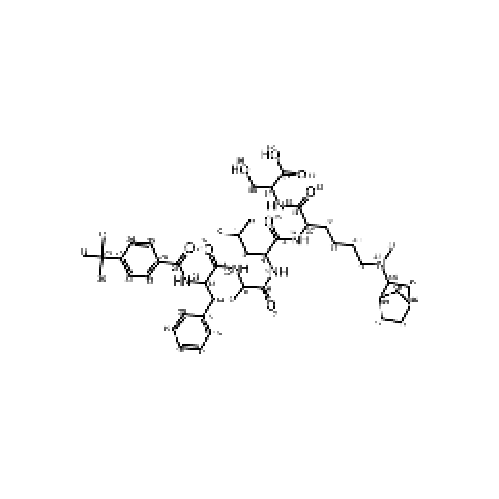 CC(C)CC(NC(=O)C(C)NC(=O)C(Cc1ccccc1)NC(=O)c1ccc(C(C)(C)C)cc1)C(=O)NC(CCCCN(C)C1CC2CCC1C2)C(=O)NC(CO)C(=O)O